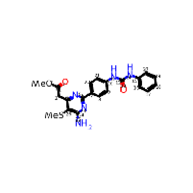 COC(=O)Cc1nc(-c2ccc(NC(=O)Nc3ccccc3)cc2)nc(N)c1SC